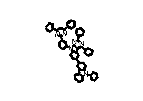 c1ccc(-c2cc(-c3ccccc3)nc(-c3cccc(-n4c5ccc(-c6ccc7c(c6)c6ccccc6n7-c6ccccc6)cc5c5c(-c6ccccc6)nc(-c6ccccc6)nc54)c3)n2)cc1